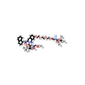 COCC(=O)N[C@H](C(=O)N1Cc2cc(OCCOCCOCCOCCNC(=O)OC(C)(C)C)ccc2C[C@H]1C(=O)N[C@@H]1CCCc2ccccc21)C(C)(C)C